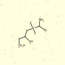 CCC(N)[N+](C)(C)CC(O)CS(=O)(=O)O